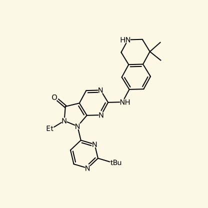 CCn1c(=O)c2cnc(Nc3ccc4c(c3)CNCC4(C)C)nc2n1-c1ccnc(C(C)(C)C)n1